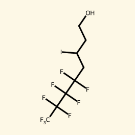 OCCC(I)CC(F)(F)C(F)(F)C(F)(F)C(F)(F)F